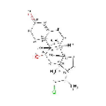 CC(CCl)[C@H]1CC[C@H]2[C@@H]3CCC4=CC(=O)CC[C@]4(C)[C@H]3C(O)C[C@]12C